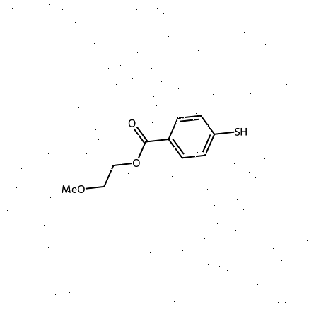 COCCOC(=O)c1ccc(S)cc1